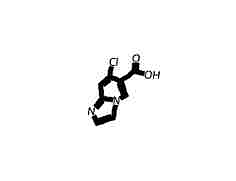 O=C(O)c1cn2ccnc2cc1Cl